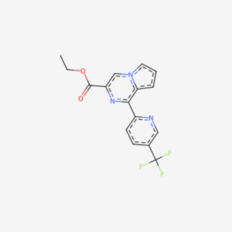 CCOC(=O)c1cn2cccc2c(-c2ccc(C(F)(F)F)cn2)n1